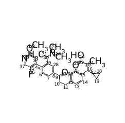 COc1cc(-c2ccc(C3CCc4ccc([C@H](C5CC5)[C@H](C)C(=O)O)cc4O3)cc2[C@@H](C)N(C)C)c(F)cn1